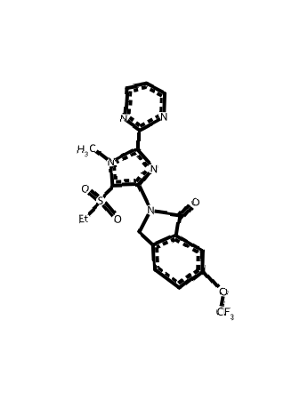 CCS(=O)(=O)c1c(N2Cc3ccc(OC(F)(F)F)cc3C2=O)nc(-c2ncccn2)n1C